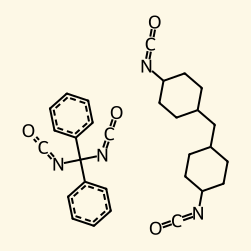 O=C=NC(N=C=O)(c1ccccc1)c1ccccc1.O=C=NC1CCC(CC2CCC(N=C=O)CC2)CC1